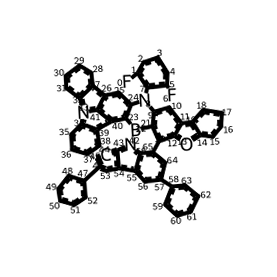 Fc1cccc(F)c1N1c2cc3c(oc4ccccc43)c3c2B(c2c1cc1c4ccccc4n4c5ccccc5c2c14)n1c2ccc(-c4ccccc4)cc2c2cc(-c4ccccc4)cc-3c21